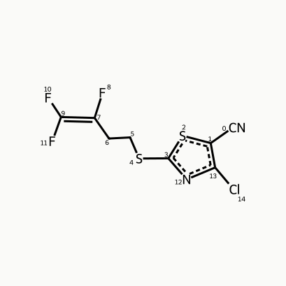 N#Cc1sc(SCCC(F)=C(F)F)nc1Cl